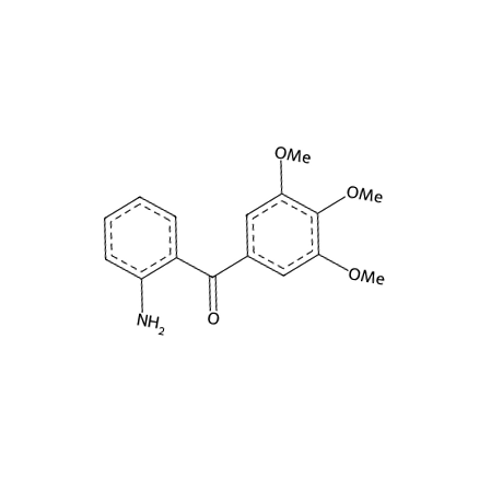 COc1cc(C(=O)c2ccccc2N)cc(OC)c1OC